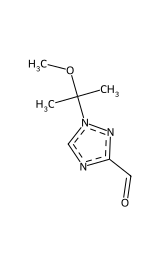 COC(C)(C)n1cnc(C=O)n1